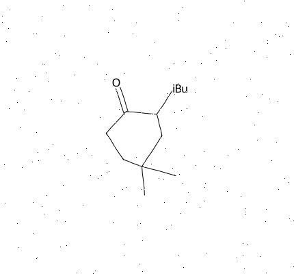 CCC(C)C1CC(C)(C)CCC1=O